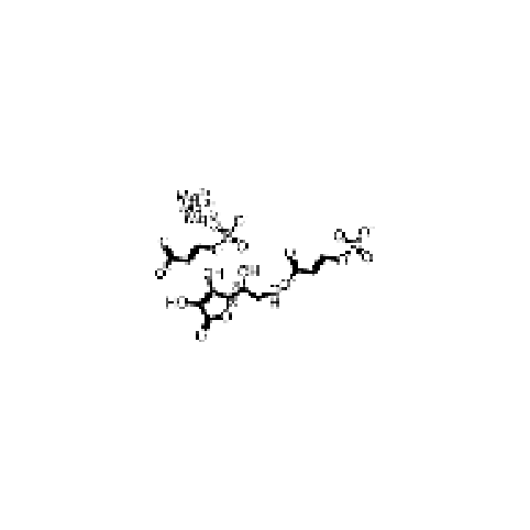 O=C([O-])C=COP(=O)([O-])[O-].O=C([O-])C=COP(=O)([O-])[O-].O=C1O[C@H]([C@@H](O)CO)C(O)=C1O.[Mg+2].[Mg+2].[Mg+2]